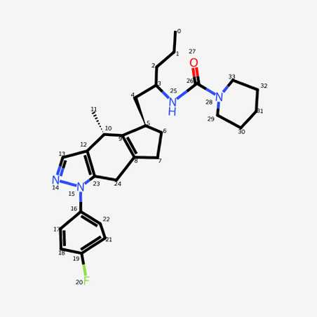 CCCC(C[C@H]1CCC2=C1[C@@H](C)c1cnn(-c3ccc(F)cc3)c1C2)NC(=O)N1CCCCC1